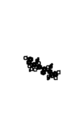 CCOC(=O)c1cc(-c2ccc(-c3ccc(-c4cc(C(=O)OCC)c(-c5cccc6c(Cl)cccc56)cc4C(=O)OCC)c(Cl)c3)c3ccccc23)c(C(=O)OCC)cc1-c1cc(Cl)cc(Cl)c1